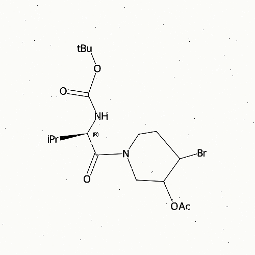 CC(=O)OC1CN(C(=O)[C@H](NC(=O)OC(C)(C)C)C(C)C)CCC1Br